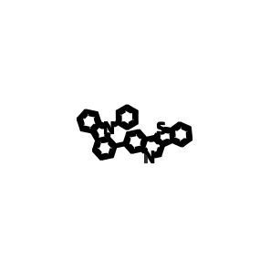 c1ccc(-n2c3ccccc3c3cccc(-c4ccc5c(c4)ncc4c6ccccc6sc54)c32)cc1